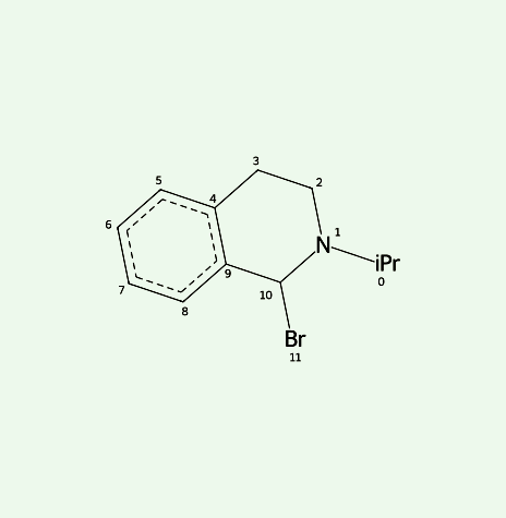 CC(C)N1CCc2ccccc2C1Br